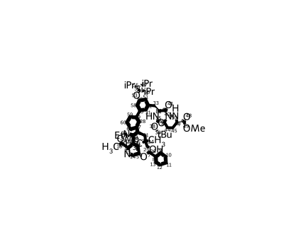 CCn1c(-c2cc(OCc3ccccc3)cnc2[C@H](C)OC)c(CC(C)(C)CO)c2cc(-c3cc(C[C@H](NC(=O)OC(C)(C)C)C(=O)N4CCC[C@@H](C(=O)OC)N4)cc(O[Si](C(C)C)(C(C)C)C(C)C)c3)ccc21